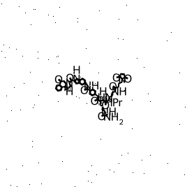 CC(C)[C@H](NCCNC(=O)CCCN1C(=O)C=CC1=O)C(=O)N[C@@H](CCCNC(N)=O)C(=O)Cc1ccc(C(=O)Nc2ccc3[nH]c(C(=O)N4C[C@H]5CC56C4=CC(=O)c4ccccc46)cc3c2)cc1